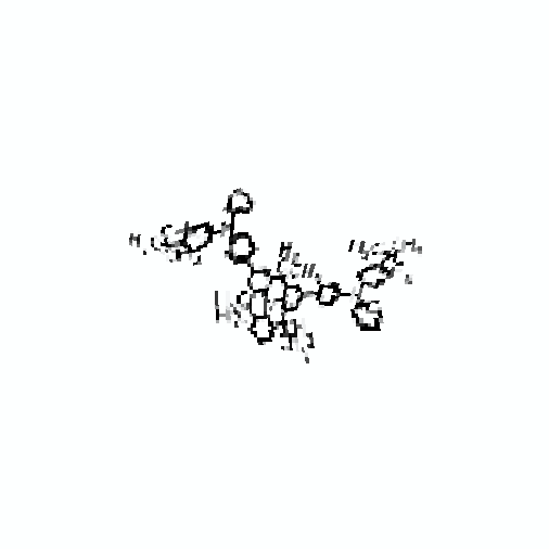 CC(C)(C)c1ccc(N(C2=CC=CCC2)c2ccc(C3C=C4C5=C(C3)C(C)(C)c3cccc6c3N5c3c(cc(-c5ccc(N(c7ccccc7)c7ccc(C(C)(C)C)cc7)cc5)cc3C6(C)C)C4(C)C)cc2)cc1